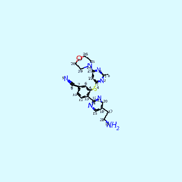 Cc1nc(Sc2cc(C#N)ccc2-c2ncc(CCN)cn2)cc(N2CCOCC2)n1